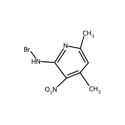 Cc1cc(C)c([N+](=O)[O-])c(NBr)n1